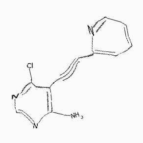 Nc1ncnc(Cl)c1C#Cc1ccccn1